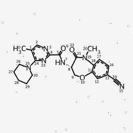 Cc1cnc(C(=O)N[C@H]2COc3cc(C#N)ccc3N(C)C2=O)nc1N1CCCCC1